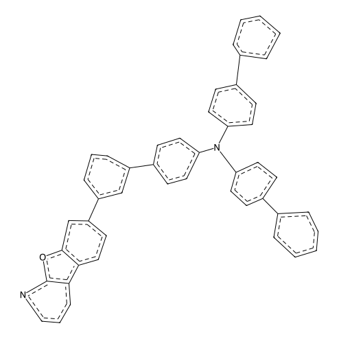 c1ccc(-c2ccc(N(c3ccc(-c4ccccc4)cc3)c3ccc(-c4cccc(-c5ccc6c(c5)oc5ncccc56)c4)cc3)cc2)cc1